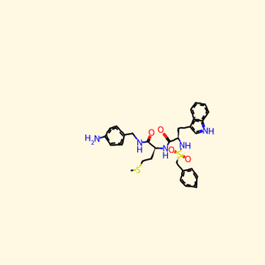 CSCC[C@H](NC(=O)[C@@H](Cc1c[nH]c2ccccc12)NS(=O)(=O)Cc1ccccc1)C(=O)NCc1ccc(N)cc1